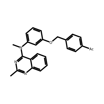 CC(=O)c1ccc(COc2cccc(N(C)c3nc(C)nc4ccccc34)c2)cc1